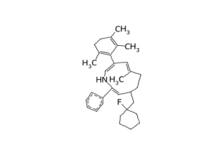 CC1=C(C)C(C2=C/N/C(c3ccccc3)=C\C(CC3(F)CCCCC3)CC\C(C)=C\2)=C(C)CC1